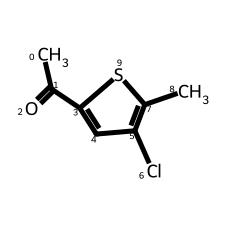 CC(=O)c1cc(Cl)c(C)s1